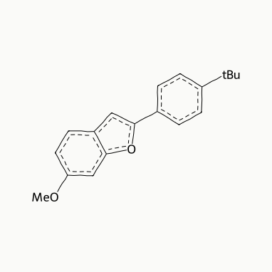 COc1ccc2cc(-c3ccc(C(C)(C)C)cc3)oc2c1